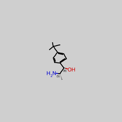 C[C@H](N)[C@H](O)c1ccc(C(C)(C)C)cc1